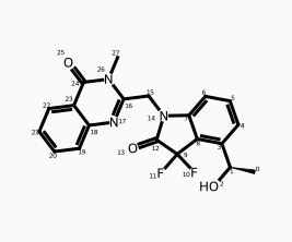 C[C@@H](O)c1cccc2c1C(F)(F)C(=O)N2Cc1nc2ccccc2c(=O)n1C